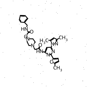 Cc1cc(C)n(-c2cc(NC(=O)CN3CCN(OC(=O)NCc4ccccc4)CC3)nc(-c3ccc(C)o3)n2)n1